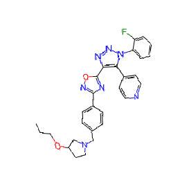 CCCOC1CCN(Cc2ccc(-c3noc(-c4nnn(-c5ccccc5F)c4-c4ccncc4)n3)cc2)C1